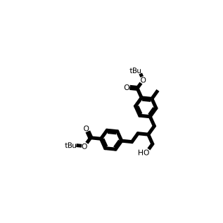 Cc1cc(CC(CO)CCc2ccc(C(=O)OC(C)(C)C)cc2)ccc1C(=O)OC(C)(C)C